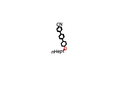 CCCCCCCOC1CCC(c2ccc(-c3ccc(C#N)cc3)cc2)CC1